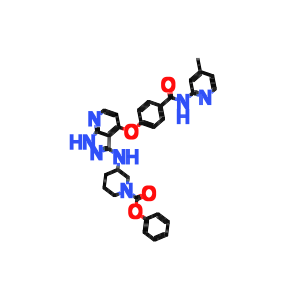 Cc1ccnc(NC(=O)c2ccc(Oc3ccnc4[nH]nc(NC5CCCN(C(=O)Oc6ccccc6)C5)c34)cc2)c1